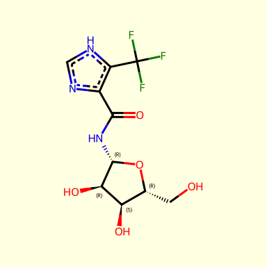 O=C(N[C@@H]1O[C@H](CO)[C@@H](O)[C@H]1O)c1nc[nH]c1C(F)(F)F